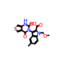 COCn1c(C(=O)O)c(-n2c(=O)[nH]c3cscc3c2=O)c2cc(C)ccc21